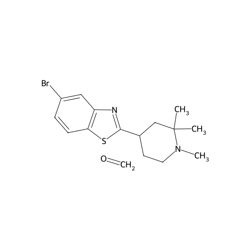 C=O.CN1CCC(c2nc3cc(Br)ccc3s2)CC1(C)C